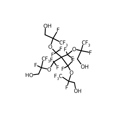 OCC(F)(OC(F)(F)C(C(F)(F)OC(F)(CO)C(F)(F)F)(C(F)(F)OC(F)(CO)C(F)(F)F)C(F)(F)OC(F)(CO)C(F)(F)F)C(F)(F)F